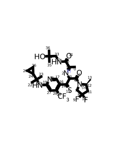 C/C(=N\C(C(=O)N1CC(F)(F)C[C@@H]1C)C(=S)c1cnc(NC(C)(C)C2CC2)cc1C(F)(F)F)C(=O)NCC(C)(C)O